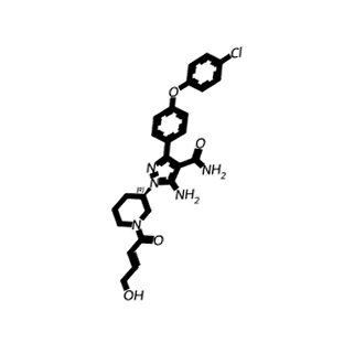 NC(=O)c1c(-c2ccc(Oc3ccc(Cl)cc3)cc2)nn([C@@H]2CCCN(C(=O)C=CCO)C2)c1N